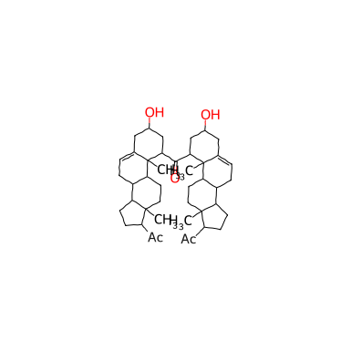 CC(=O)C1CCC2C3CC=C4CC(O)CC(C(=O)C5CC(O)CC6=CCC7C8CCC(C(C)=O)C8(C)CCC7C65C)C4(C)C3CCC12C